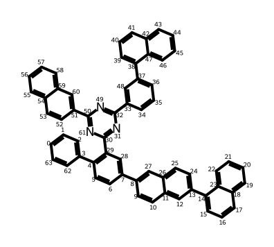 c1ccc(-c2ccc(-c3ccc4cc(-c5cccc6ccccc56)ccc4c3)cc2-c2nc(-c3cccc(-c4cccc5ccccc45)c3)nc(-c3ccc4ccccc4c3)n2)cc1